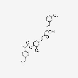 COc1cc(/C=C/C(O)=C/C(=O)/C=C/c2ccc(OC(=O)C(C)c3ccc(CC(C)C)cc3)c(OC)c2)ccc1C